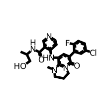 CC(CO)NC(=O)c1cnccc1Nc1cc(-c2cc(Cl)ccc2F)c(=O)n2c1N(C)CCC2